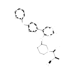 C=C(C#N)C(=O)N1CCCC(Nc2ncncc2-c2ccc(Oc3ccccc3)cc2)C1